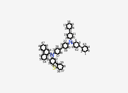 c1ccc(-c2ccc(N(c3ccc(-c4ccccc4)cc3)c3ccc(-c4ccc(N(c5ccc6sc7ccccc7c6c5)c5cc6ccccc6c6ccccc56)cc4)cc3)cc2)cc1